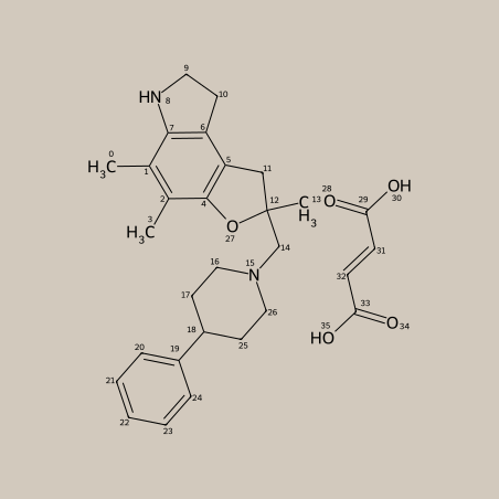 Cc1c(C)c2c(c3c1NCC3)CC(C)(CN1CCC(c3ccccc3)CC1)O2.O=C(O)/C=C/C(=O)O